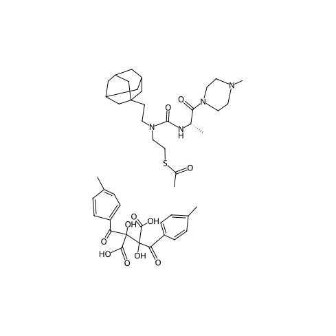 CC(=O)SCCN(CCC12CC3CC(CC(C3)C1)C2)C(=O)N[C@@H](C)C(=O)N1CCN(C)CC1.Cc1ccc(C(=O)C(O)(C(=O)O)C(O)(C(=O)O)C(=O)c2ccc(C)cc2)cc1